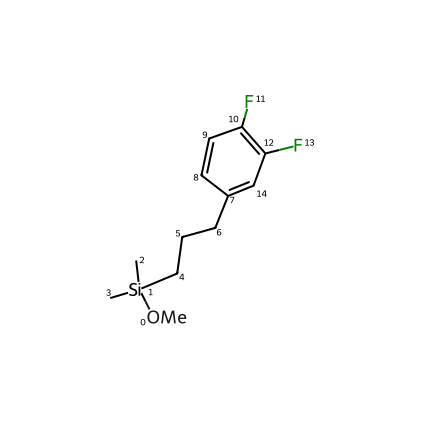 CO[Si](C)(C)CCCc1ccc(F)c(F)c1